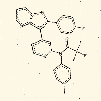 Cc1ccc(N(C(=O)C(F)(F)F)c2cc(-c3c(-c4ccc(F)cc4)nc4cccnn34)ccn2)cc1